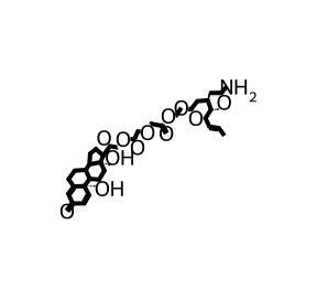 C/C=C/C[C@@H](C)[C@H](CC(N)=O)CC(=O)OCOC(=O)COCC(=O)OCC(=O)[C@@]1(O)CCC2C3CCC4=CC(=O)C=C[C@]4(C)C3[C@@H](O)C[C@@]21C